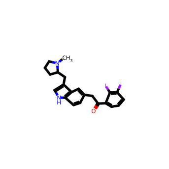 CN1CCCC1Cc1c[nH]c2ccc(CC(=O)c3cccc(I)c3I)cc12